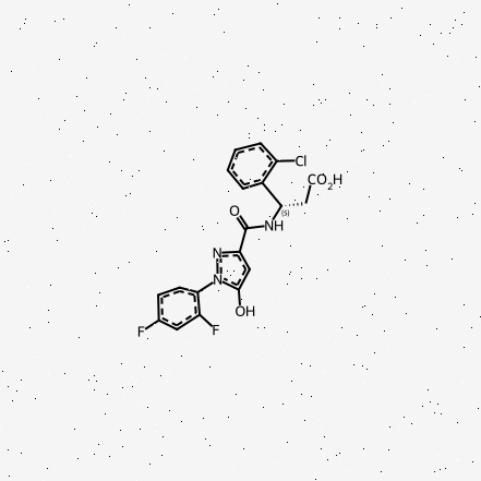 O=C(O)C[C@H](NC(=O)c1cc(O)n(-c2ccc(F)cc2F)n1)c1ccccc1Cl